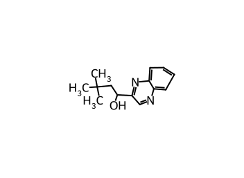 CC(C)(C)CC(O)c1cnc2ccccc2n1